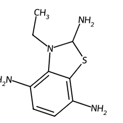 CCN1c2c(N)ccc(N)c2SC1N